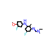 CCN(C)/C=N/c1cc(F)cc(Nc2ccc(OC)c(F)c2)c1C